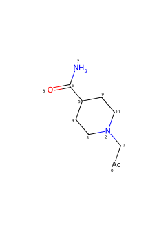 CC(=O)CN1CCC(C(N)=O)CC1